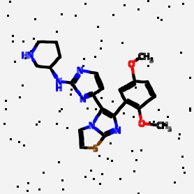 COc1ccc(OC)c(-c2nc3sccn3c2-c2ccnc(N[C@@H]3CCCNC3)n2)c1